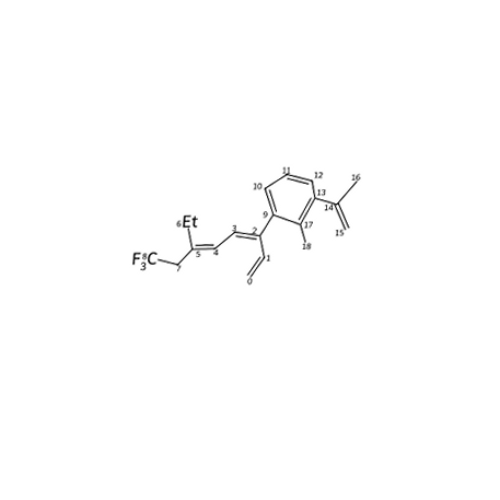 C=C/C(=C\C=C(/CC)CC(F)(F)F)c1cccc(C(=C)C)c1C